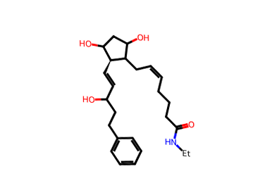 CCNC(=O)CCC/C=C\CC1C(O)CC(O)[C@@H]1/C=C/C(O)CCc1ccccc1